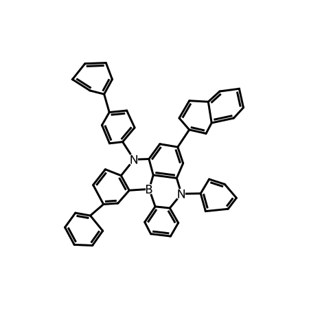 c1ccc(-c2ccc(N3c4ccc(-c5ccccc5)cc4B4c5ccccc5N(c5ccccc5)c5cc(-c6ccc7ccccc7c6)cc3c54)cc2)cc1